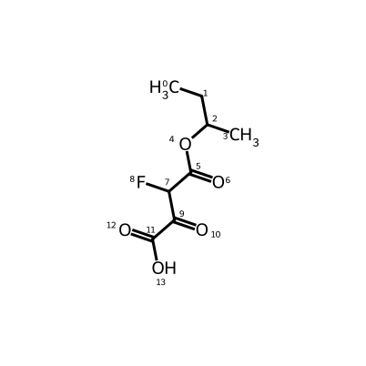 CCC(C)OC(=O)C(F)C(=O)C(=O)O